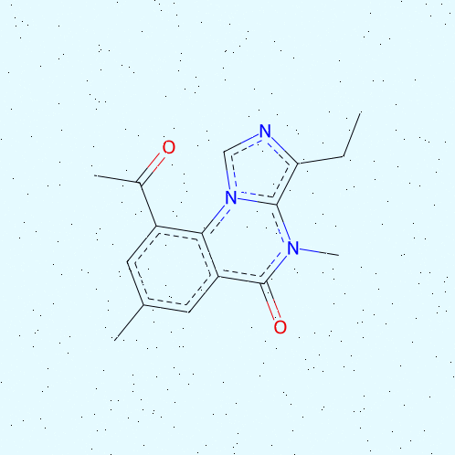 CCc1ncn2c3c(C(C)=O)cc(C)cc3c(=O)n(C)c12